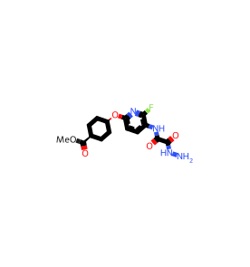 COC(=O)[C@H]1CC[C@H](Oc2ccc(NC(=O)C(=O)NN)c(F)n2)CC1